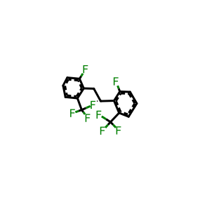 Fc1cccc(C(F)(F)F)c1[CH]Cc1c(F)cccc1C(F)(F)F